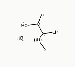 CNC(Cl)C(C)O.Cl